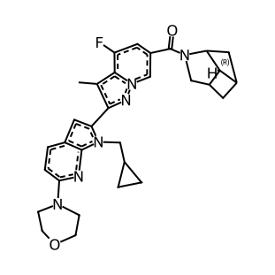 Cc1c(-c2cc3ccc(N4CCOCC4)nc3n2CC2CC2)nn2cc(C(=O)N3CC4CC5CC3[C@H]54)cc(F)c12